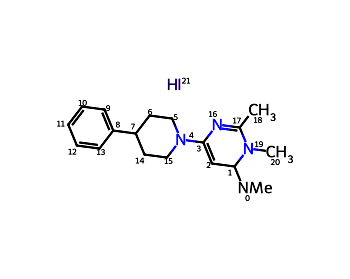 CNC1C=C(N2CCC(c3ccccc3)CC2)N=C(C)N1C.I